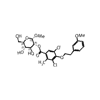 COc1cccc(CCOc2c(Cl)cc(C(=O)O[C@H]3[C@@H](OC)O[C@H](CO)[C@@H](O)[C@@H]3O)c(C)c2Cl)c1